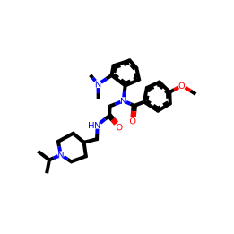 COc1ccc(C(=O)N(CC(=O)NCC2CCN(C(C)C)CC2)c2ccccc2N(C)C)cc1